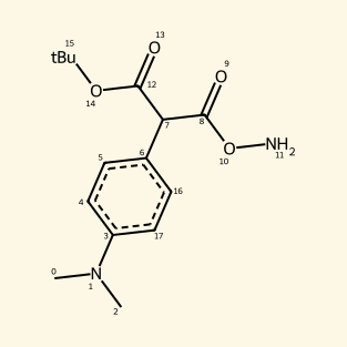 CN(C)c1ccc(C(C(=O)ON)C(=O)OC(C)(C)C)cc1